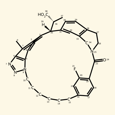 Cc1c2ccc3c1nnn3CCCCCCc1ccc(c(F)c1)C(=O)N1CCc3ccc(cc3C1)[C@H]2[C@@H](C)C(=O)O